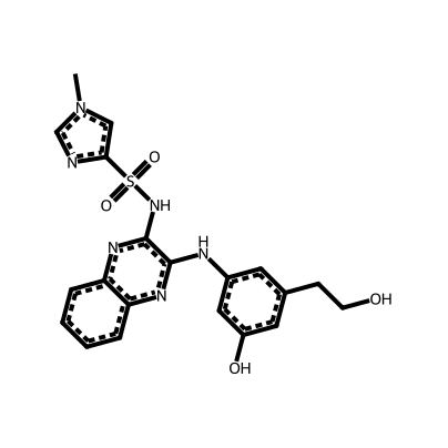 Cn1cnc(S(=O)(=O)Nc2nc3ccccc3nc2Nc2cc(O)cc(CCO)c2)c1